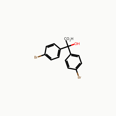 O=C(O)C(O)(c1ccc(Br)cc1)c1ccc(Br)cc1